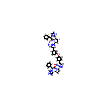 O=C(C(c1ccccc1)n1ccnc1)N1CCC[C@H]1c1nc(-c2cccc(Oc3ccc(-c4cnc([C@@H]5CCCN5C(=O)C(c5ccccc5)n5ccnc5)[nH]4)cc3)c2)c[nH]1